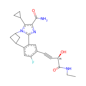 CCNC(=O)[C@H](O)C#Cc1cc2c(cc1F)C1CC(C1)n1c-2nc(C(N)=O)c1C1CC1